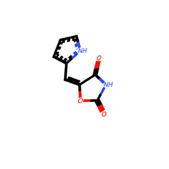 O=C1NC(=O)C(=Cc2ccc[nH]2)O1